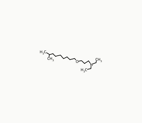 CCN(CC)CCCOCCCCCCCC(C)C